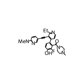 CCc1nccc(-c2ccc(O)c(F)c2C(=O)N2CCN(C)CC2)c1C#Cc1ccc(NC)nc1